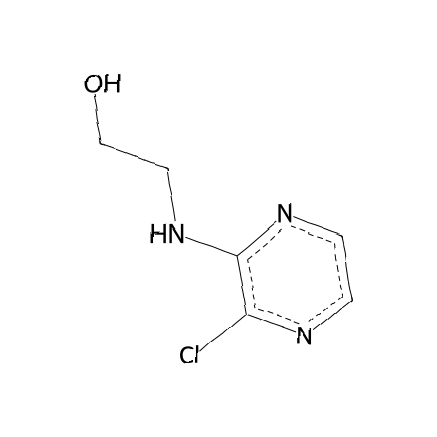 OCCNc1nccnc1Cl